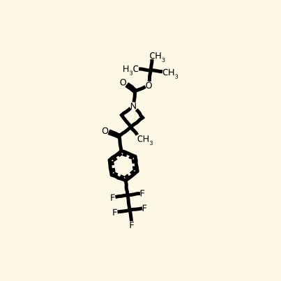 CC(C)(C)OC(=O)N1CC(C)(C(=O)c2ccc(C(F)(F)C(F)(F)F)cc2)C1